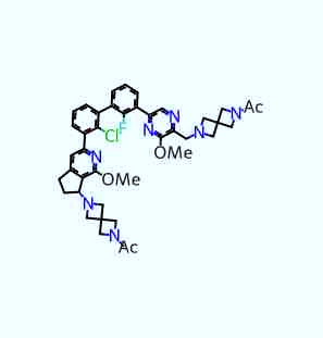 COc1nc(-c2cccc(-c3cccc(-c4cc5c(c(OC)n4)[C@@H](N4CC6(CN(C(C)=O)C6)C4)CC5)c3Cl)c2F)cnc1CN1CC2(C1)CN(C(C)=O)C2